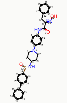 O=C(Nc1ccc(N2CCC(N[S+]([O-])c3ccc(-c4ccccc4)cc3)CC2)cc1)/C(Cc1ccccc1)=N/O